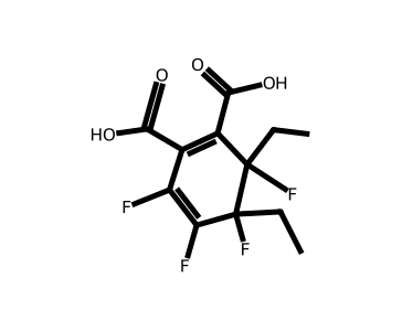 CCC1(F)C(F)=C(F)C(C(=O)O)=C(C(=O)O)C1(F)CC